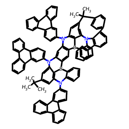 CC(C)(C)c1cc2c3c(c1)N(c1ccc4c5ccccc5c5ccccc5c4c1)c1cc4c(cc1B3c1ccccc1N2c1ccc2c3ccccc3c3ccccc3c2c1)B1c2ccccc2N2c3cc(cc(c31)N4c1ccc3c4ccccc4c4ccccc4c3c1)C(C)(C)c1ccc(cc1)-c1cccc(-c3ccccc3)c12